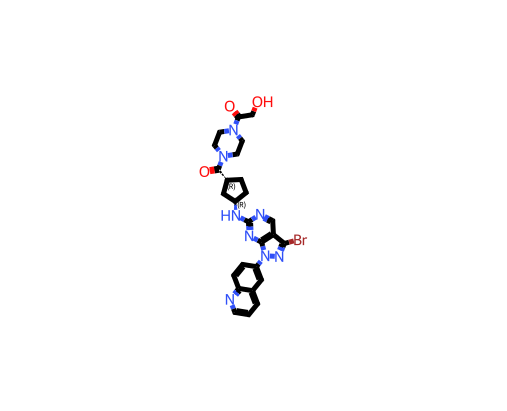 O=C(CO)N1CCN(C(=O)[C@@H]2CC[C@@H](Nc3ncc4c(Br)nn(-c5ccc6ncccc6c5)c4n3)C2)CC1